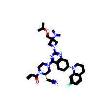 C=CC(=O)N1CCN(c2nc(N3CC(COC(C)C)(N(C)C)C3)nc3c2CC[C@@H](N2CCCc4ccc(F)cc42)C3)C[C@@H]1CC#N